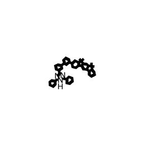 CC1(C)C2=CC3C(C=C2C2=C1C=C(c1cccc(-c4cccc(C5=NC(C6=CCCC=C6)NC(C6=CC=CCC6)=N5)c4)c1)CC2)c1ccccc1C3(C)C